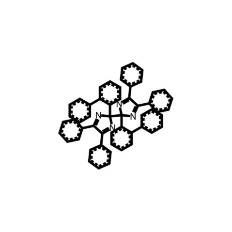 c1ccc(C2=NC(c3ccccc3-c3ccccc3)(C3(c4ccccc4-c4ccccc4)N=C(c4ccccc4)C(c4ccccc4)=N3)N=C2c2ccccc2)cc1